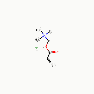 C=CC(=O)OC[N+](C)(C)CC.[Cl-]